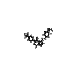 C[C@H]1CN(c2ccc(C(F)(F)F)cc2)C(=O)c2c(CCc3ccc(N)nc3)cnn21